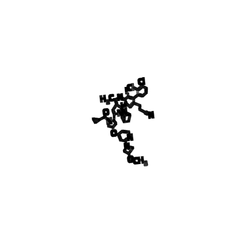 COC1CN(c2cc(OC3CC(c4cc5c(C)nc6c(F)c(-c7cccc(Cl)c7Cl)c(CCC#N)cc6c5n4C4C5CNC4C5)N(C(=O)C4CC4)C3)ccn2)C1